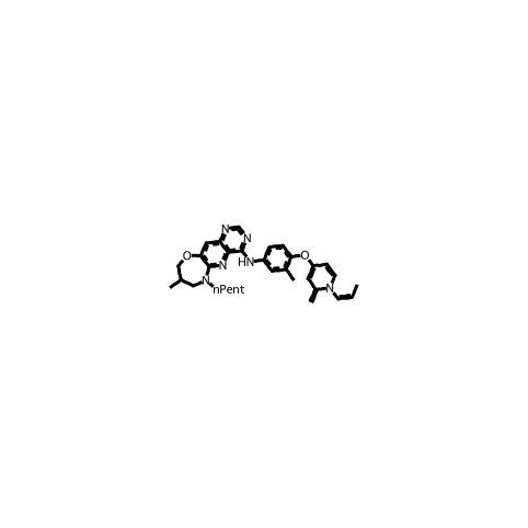 C=C1C=C(Oc2ccc(Nc3ncnc4cc5c(nc34)N(CCCCC)CC(C)CO5)cc2C)C=CN1/C=C\C